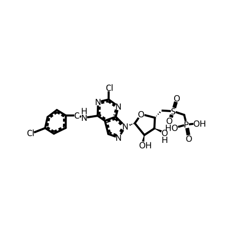 O=P(O)(O)CS(=O)(=O)C[C@H]1O[C@@H](n2ncc3c(NCc4ccc(Cl)cc4)nc(Cl)nc32)[C@H](O)[C@@H]1O